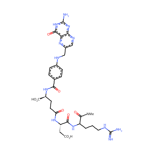 CNC(=O)C(CCCNC(=N)N)NC(=O)[C@H](CC(=O)O)NC(=O)CC[C@H](NC(=O)c1ccc(NCc2cnc3nc(N)[nH]c(=O)c3n2)cc1)C(=O)O